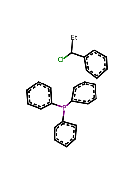 CCC(Cl)c1ccccc1.c1ccc(P(c2ccccc2)c2ccccc2)cc1